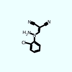 N#CC(C#N)=CN(N)c1ccccc1Cl